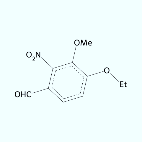 CCOc1ccc(C=O)c([N+](=O)[O-])c1OC